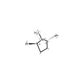 [CH2-][NH+]1[C@H](C(C)C)CC[C@H]1C(C)C